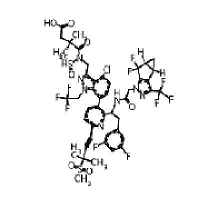 CC(C)(CC(=O)O)C(=O)N(Cc1nn(CC(F)(F)F)c2c(-c3ccc(C#CC(C)(C)S(C)(=O)=O)nc3C(Cc3cc(F)cc(F)c3)NC(=O)Cn3nc(C(F)(F)F)c4c3C(F)(F)[C@@H]3C[C@H]43)ccc(Cl)c12)[SH](=O)=O